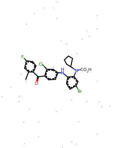 Cc1cc(F)ccc1C(=O)c1ccc(Nc2ccc(Br)cc2N(C(=O)O)C2CCCC2)cc1Cl